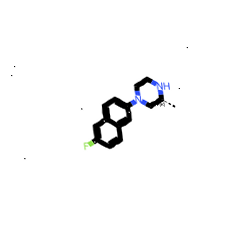 C[C@@H]1CN(c2ccc3cc(F)ccc3c2)CCN1